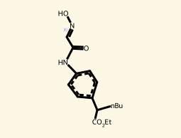 CCCCC(C(=O)OCC)c1ccc(NC(=O)/C=N/O)cc1